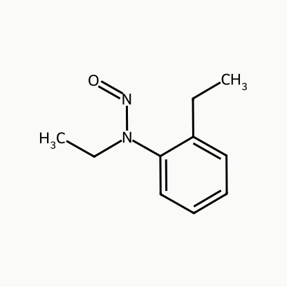 CCc1ccccc1N(CC)N=O